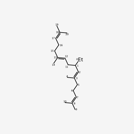 [CH2]CC(/C=C(\C)CCC=C(C)C)C/C=C(\C)CCC=C(C)C